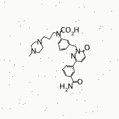 CN1CCN(CCCN(C(=O)O)c2cccc(Cn3nc(-c4cccc(C(N)=O)c4)ccc3=O)c2)CC1